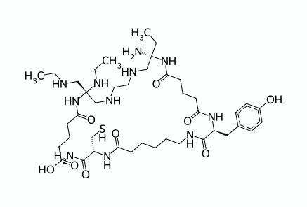 CCNC[C@](CNCCNC[C@@](N)(CC)NC(=O)CCCC(=O)N[C@@H](Cc1ccc(O)cc1)C(=O)NCCCCCC(=O)N[C@@H](CS)C(N)=O)(NCC)NC(=O)CCCC(=O)O